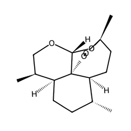 C[C@@H]1CC[C@H]2[C@@H](C)CO[C@@H]3O[C@@]4(C)CC[C@@H]1[C@]32OO4